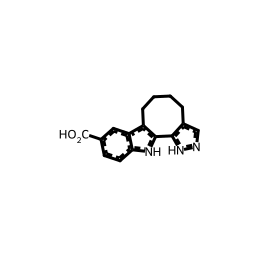 O=C(O)c1ccc2[nH]c3c(c2c1)CCCCc1cn[nH]c1-3